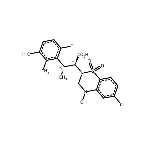 Cc1ccc(F)c([C@@H](C)[C@@H](C(=O)O)N2CN(O)c3cc(Cl)ccc3S2(=O)=O)c1C